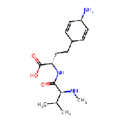 CN[C@H](C(=O)N[C@@H](CCC1C=CC(N)C=C1)C(=O)O)C(C)C